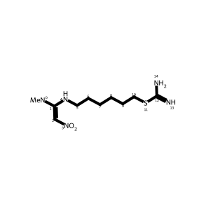 CNC(=C[N+](=O)[O-])NCCCCCCSC(=N)N